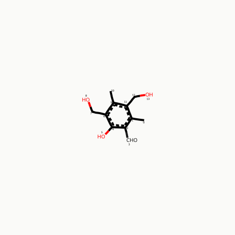 Cc1c(C=O)c(O)c(CO)c(C)c1CO